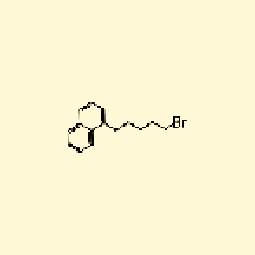 BrCCCCCc1cccc2ccccc12